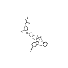 [C-]#[N+]c1ccc2c(C(O)(CN3CCC(Oc4ccc(CC(=O)OCC)cc4OC)CC3)C(F)(F)F)cn(Cc3ccccc3OC)c2c1